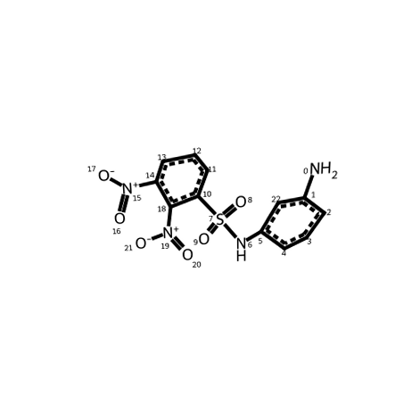 Nc1cccc(NS(=O)(=O)c2cccc([N+](=O)[O-])c2[N+](=O)[O-])c1